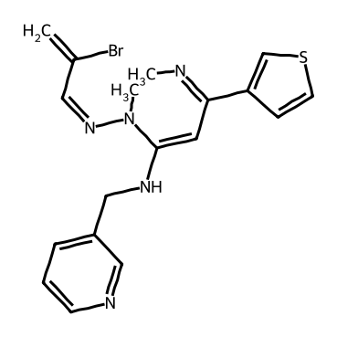 C=C(Br)/C=N\N(C)/C(=C\C(=N/C)c1ccsc1)NCc1cccnc1